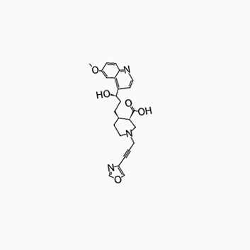 COc1ccc2nccc([C@H](O)CC[C@@H]3CCN(CC#Cc4cocn4)C[C@@H]3C(=O)O)c2c1